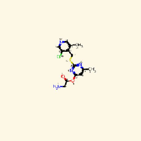 Cc1cc(OC(=O)CN)nc(SCc2c(C)cncc2Cl)n1